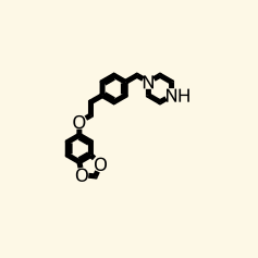 c1cc(CN2CCNCC2)ccc1CCOc1ccc2c(c1)OCO2